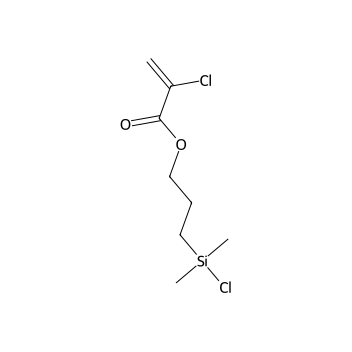 C=C(Cl)C(=O)OCCC[Si](C)(C)Cl